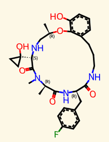 C[C@@H]1CN[C@@H](C2(O)CC2)C(=O)N(C)[C@H](C)C(=O)N[C@H](Cc2ccc(F)cc2)C(=O)NCCCc2cccc(O)c2O1